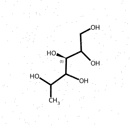 CC(O)C(O)[C@@H](O)C(O)CO